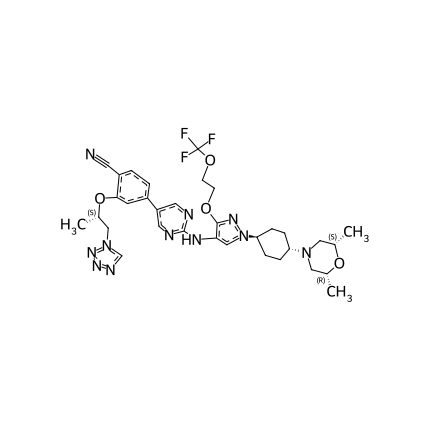 C[C@@H]1CN([C@H]2CC[C@H](n3cc(Nc4ncc(-c5ccc(C#N)c(O[C@@H](C)Cn6cnnn6)c5)cn4)c(OCCOC(F)(F)F)n3)CC2)C[C@H](C)O1